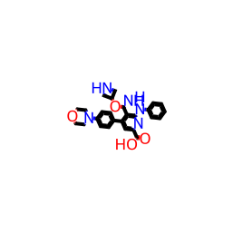 N=C(OC1CNC1)c1c(-c2ccc(N3CCOCC3)cc2)cc(C(=O)O)nc1Nc1ccccc1